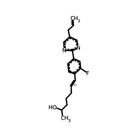 C=CCc1cnc(-c2ccc(/C=C/CCCC(C)O)c(F)c2)nc1